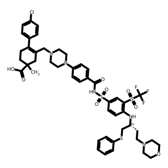 CC1(C(=O)O)CCC(c2ccc(Cl)cc2)=C(CN2CCN(c3ccc(C(=O)NS(=O)(=O)c4ccc(N[C@H](CCN5CCOCC5)CSc5ccccc5)c(S(=O)(=O)C(F)(F)F)c4)cc3)CC2)C1